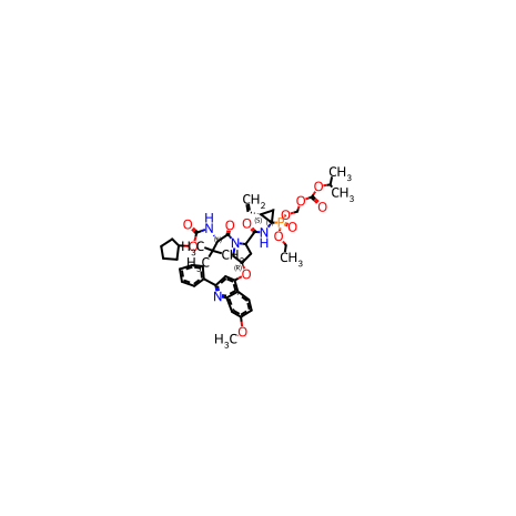 C=C[C@@H]1C[C@]1(NC(=O)C1C[C@@H](Oc2cc(-c3ccccc3)nc3cc(OC)ccc23)CN1C(=O)[C@@H](NC(=O)OC1CCCC1)C(C)(C)C)P(=O)(OCC)OCOC(=O)OC(C)C